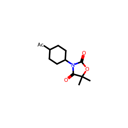 CC(=O)C1CCC(N2C(=O)OC(C)(C)C2=O)CC1